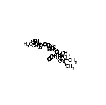 CCCCN(CCCC)C(=O)c1nn(-c2ccc(C(=O)NS(=O)(=O)c3ccc4ccc(OCCO[Si](C)(C)C(C)(C)C)cc4c3)cc2C(=O)N2CCc3ccccc3C2)c(C)c1Cl